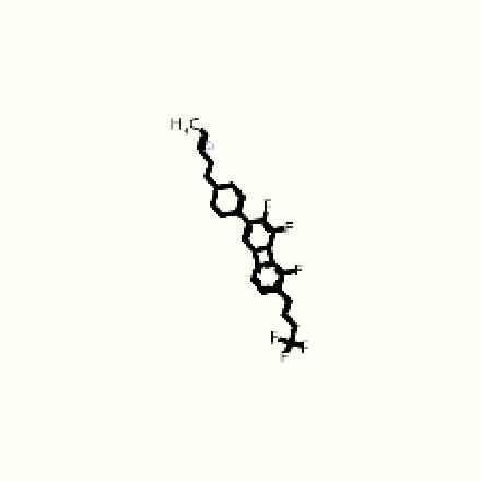 C/C=C/CCC1CCC(C2=CC3c4ccc(CCCC(F)(F)F)c(F)c4C3C(F)=C2F)CC1